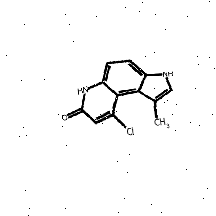 Cc1c[nH]c2ccc3[nH]c(=O)cc(Cl)c3c12